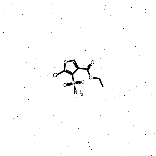 CCOC(=O)c1csc(Cl)c1S(N)(=O)=O